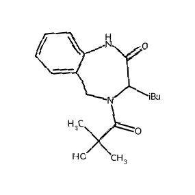 CCC(C)C1C(=O)Nc2ccccc2CN1C(=O)C(C)(C)O